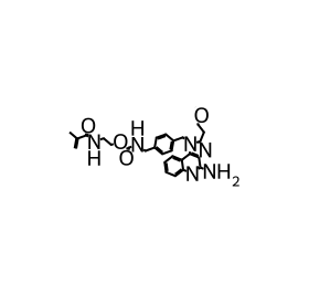 C=C(C)C(=O)NCCOC(=O)NCc1ccc(Cn2c(CCOC)nc3c(N)nc4ccccc4c32)cc1